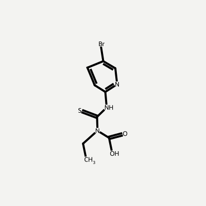 CCN(C(=O)O)C(=S)Nc1ccc(Br)cn1